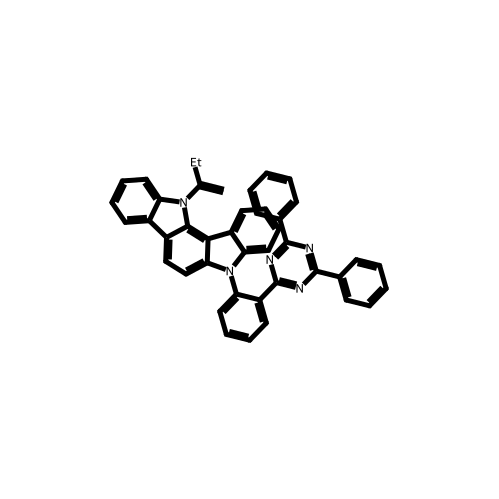 C=C(CC)n1c2ccccc2c2ccc3c(c4ccccc4n3-c3ccccc3-c3nc(-c4ccccc4)nc(-c4ccccc4)n3)c21